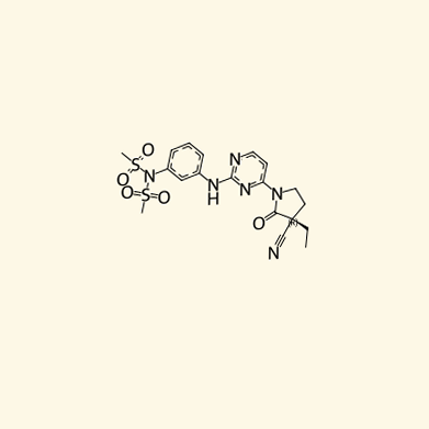 CC[C@]1(C#N)CCN(c2ccnc(Nc3cccc(N(S(C)(=O)=O)S(C)(=O)=O)c3)n2)C1=O